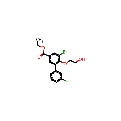 CCOC(=O)c1cc(Br)c(OCCO)c(-c2cccc(F)c2)c1